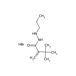 Br.C=C(C(=O)NNCCC)C(C)(C)C